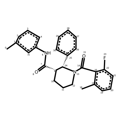 Cc1cccc(NC(=O)[C@H]2CCCN(C(=O)c3c(C)cccc3F)[C@H]2c2ccccc2)c1